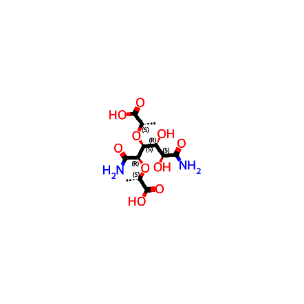 C[C@H](O[C@@H]([C@H](O)[C@H](O)C(N)=O)[C@@H](O[C@@H](C)C(=O)O)C(N)=O)C(=O)O